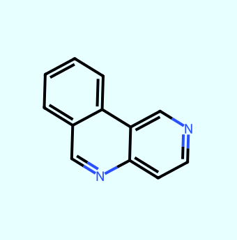 c1ccc2c(c1)cnc1ccncc12